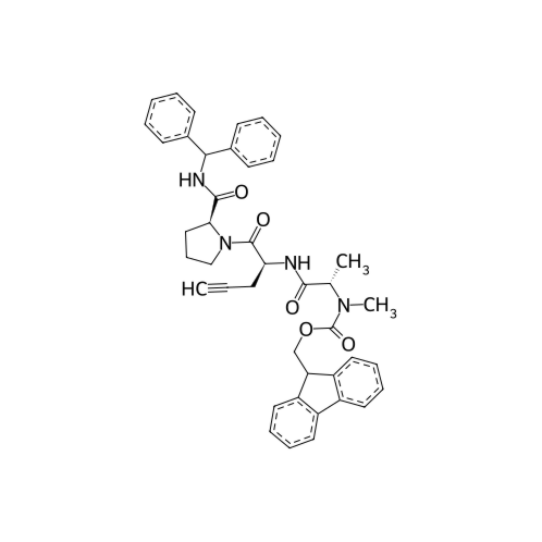 C#CC[C@H](NC(=O)[C@H](C)N(C)C(=O)OCC1c2ccccc2-c2ccccc21)C(=O)N1CCC[C@H]1C(=O)NC(c1ccccc1)c1ccccc1